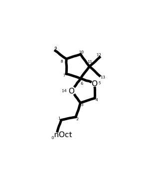 CCCCCCCCCCC1COC2(CC(C)CC2(C)C)O1